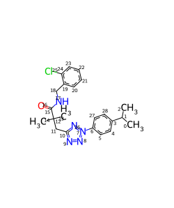 CC(C)c1ccc(-n2nnc(CC(C)(C)C(=O)NCc3ccccc3Cl)n2)cc1